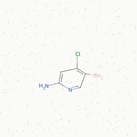 Bc1cnc(N)cc1Cl